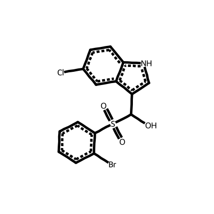 O=S(=O)(c1ccccc1Br)C(O)c1c[nH]c2ccc(Cl)cc12